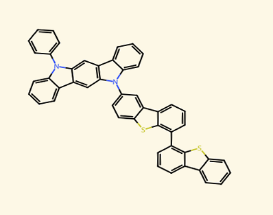 c1ccc(-n2c3ccccc3c3cc4c(cc32)c2ccccc2n4-c2ccc3sc4c(-c5cccc6c5sc5ccccc56)cccc4c3c2)cc1